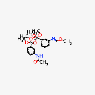 COC=Nc1cccc([Si](OC)(OC)O[Si](OC)(OC)c2cccc(NC(C)=O)c2)c1